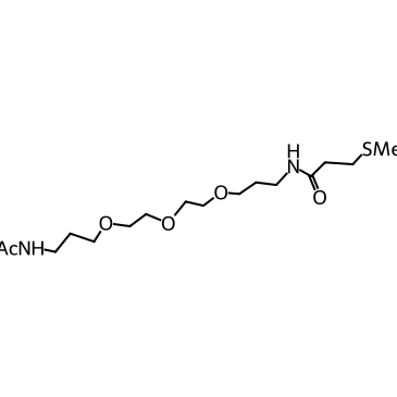 CSCCC(=O)NCCCOCCOCCOCCCNC(C)=O